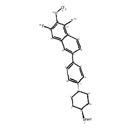 CCCCC[C@H]1CC[C@H](c2ccc(-c3ccc4c(F)c(OC(F)(F)F)c(F)cc4c3)cc2)CC1